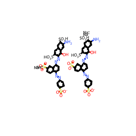 Nc1cc2c(O)c(N=Nc3ccc(N=Nc4ccc(S(=O)(=O)[O-])cc4)c4ccc(S(=O)(=O)[O-])cc34)c(S(=O)(=O)O)cc2cc1S(=O)(=O)O.Nc1cc2c(O)c(N=Nc3ccc(N=Nc4ccc(S(=O)(=O)[O-])cc4)c4ccc(S(=O)(=O)[O-])cc34)c(S(=O)(=O)O)cc2cc1S(=O)(=O)O.[Na+].[Na+].[Na+].[Na+]